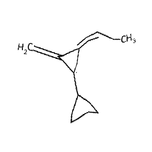 C=C1[C](C2CC2)C1=CC